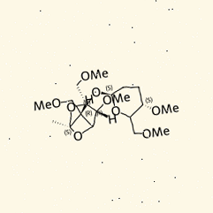 COCC1O[C@@H](O[C@]2(COC)O[C@]3(C)OC([C@H]3COC)[C@H]2OC)CC[C@@H]1OC